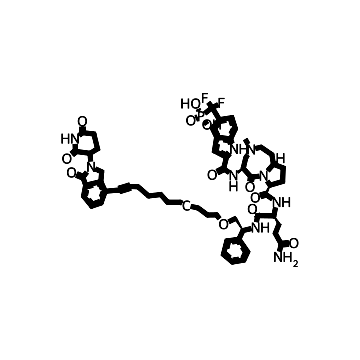 CN1CC[C@H]2CC[C@@H](C(=O)N[C@@H](CCC(N)=O)C(=O)N[C@H](COCCCCCCCCCC#Cc3cccc4c3CN(C3CCC(=O)NC3=O)C4=O)c3ccccc3)N2C(=O)[C@@H](NC(=O)c2cc3cc(C(F)(F)P(=O)(O)O)ccc3[nH]2)C1